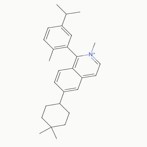 Cc1ccc(C(C)C)cc1-c1c2ccc(C3CCC(C)(C)CC3)cc2cc[n+]1C